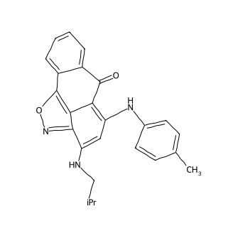 Cc1ccc(Nc2cc(NCC(C)C)c3noc4c3c2C(=O)c2ccccc2-4)cc1